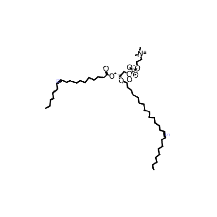 CCCCCC/C=C\CCCCCCCCCC(=O)OC[C@H](COP(=O)([O-])OCC[N+](C)(C)C)OC(=O)CCCCCCCCCCCCC/C=C\CCCCCCCC